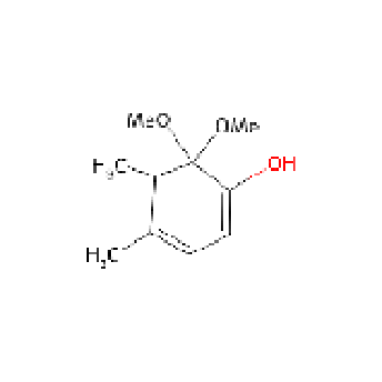 COC1(OC)C(O)=CC=C(C)C1C